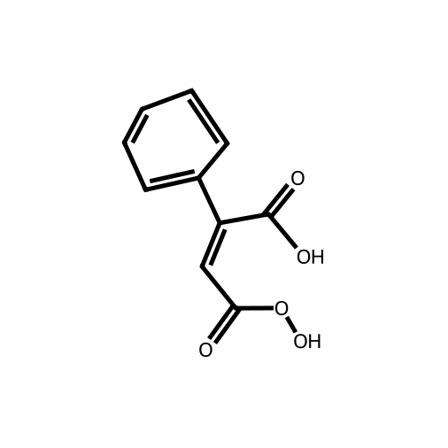 O=C(/C=C(\C(=O)O)c1ccccc1)OO